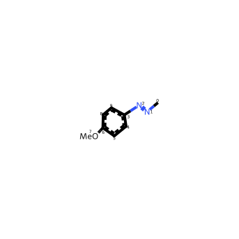 CN=Nc1ccc(OC)cc1